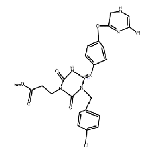 COC(=O)CCn1c(=O)[nH]/c(=N\c2ccc(OC3=NC(Cl)=CNC3)cc2)n(Cc2ccc(Cl)cc2)c1=O